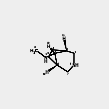 CN[C@@H]1[C@@H]2CC[C@H]1CNC2